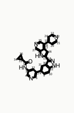 O=C(Nc1cncc(-c2ccc3[nH]nc(-c4cc5c(-c6ccncc6)cncc5[nH]4)c3c2)c1)C1CC1